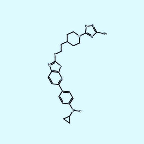 CC(C)c1noc(N2CCC(CCOc3nc4ccc(-c5ccc([S+]([O-])C6CC6)cc5)nc4s3)CC2)n1